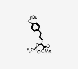 CCCCOc1ccc(CCC[C@@H](OS(=O)C(F)(F)F)C(=O)OC)cc1